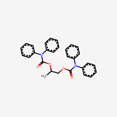 CC(COC(=O)N(c1ccccc1)c1ccccc1)OC(=O)N(c1ccccc1)c1ccccc1